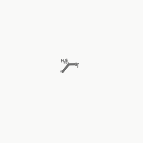 CCBr.S